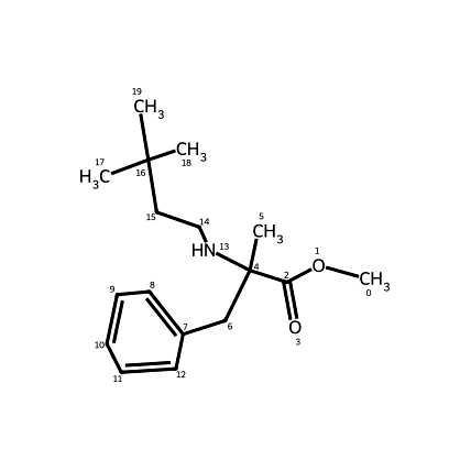 COC(=O)C(C)(Cc1ccccc1)NCCC(C)(C)C